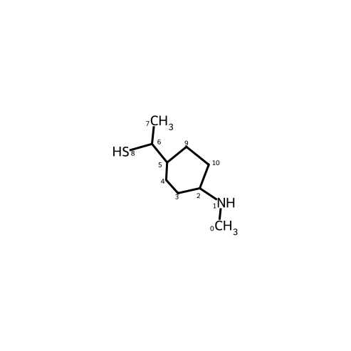 CNC1CCC(C(C)S)CC1